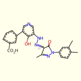 CC1=NN(c2ccc(C)c(C)c2)C(=O)/C1=N\Nc1cncc(-c2cccc(C(=O)O)c2)c1O